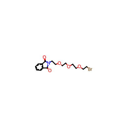 O=C1c2ccccc2C(=O)N1CCOCCOCCOCCBr